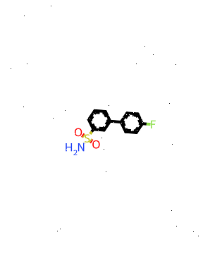 NS(=O)(=O)c1cccc(-c2ccc(F)cc2)c1